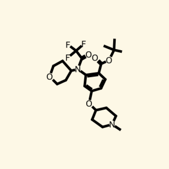 CN1CCC(Oc2ccc(C(=O)OC(C)(C)C)c(N(C(=O)C(F)(F)F)C3CCOCC3)c2)CC1